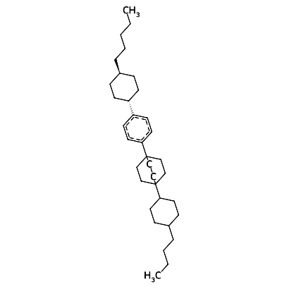 CCCCC[C@H]1CC[C@H](c2ccc(C34CCC(C5CCC(CCCC)CC5)(CC3)CC4)cc2)CC1